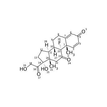 C[C@]12C=CC(=O)C=C1CC[C@H]1[C@@H]3CC[C@](O)(C(=O)CO)[C@@]3(C)CC(=O)[C@@]12F